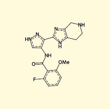 COc1cccc(F)c1C(=O)Nc1c[nH]nc1-c1nc2c([nH]1)CCNC2